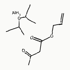 C=CCOC(=O)CC(C)=O.CC(C)OC(C)C.[AlH3]